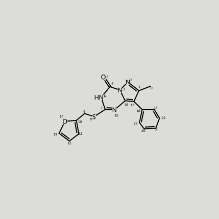 Cc1nn2c(=O)[nH]c(SCc3ccco3)nc2c1-c1ccccc1